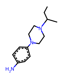 CCC(C)N1CCN(c2ccc(N)cc2)CC1